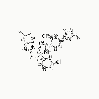 Cc1ccc2c(c1)nc1n2CC(NC(=O)c2ccc(-n3cnc(C)n3)cc2Cl)(c2cncc(Cl)c2)CC1